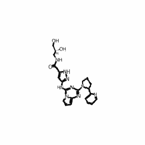 O=C(NC[C@@H](O)CO)c1cc(Nc2nc(N3CCCC3c3ccccn3)nc3cccn23)n[nH]1